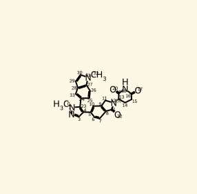 Cn1ncc(-c2ccc3c(c2)CN([C@H]2CCC(=O)NC2=O)C3=O)c1-c1ccc2c(ccn2C)c1